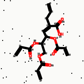 C=CCC(=CC(OC(=O)C=C)C(COC(=O)C=C)OC(=O)C=C)C(=O)O